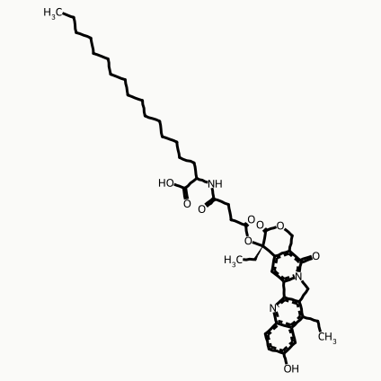 CCCCCCCCCCCCCCCCC(NC(=O)CCC(=O)O[C@]1(CC)C(=O)OCc2c1cc1n(c2=O)Cc2c-1nc1ccc(O)cc1c2CC)C(=O)O